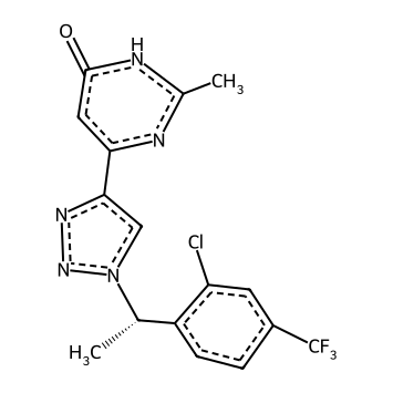 Cc1nc(-c2cn([C@@H](C)c3ccc(C(F)(F)F)cc3Cl)nn2)cc(=O)[nH]1